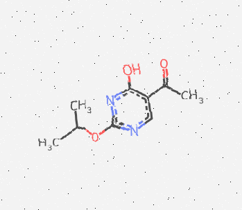 CC(=O)c1cnc(OC(C)C)nc1O